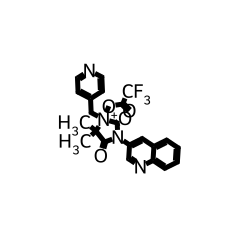 CC1(C)C(=O)N(c2cnc3ccccc3c2)C(=O)[N+]1(Cc1ccncc1)OC(=O)C(F)(F)F